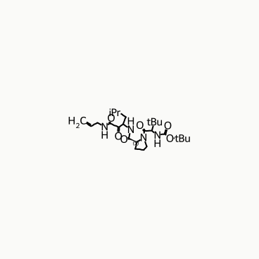 C=CCNC(=O)C(=O)C(CC(C)C)NC(=O)[C@@H]1CCCN1C(=O)C(NC(=O)OC(C)(C)C)C(C)(C)C